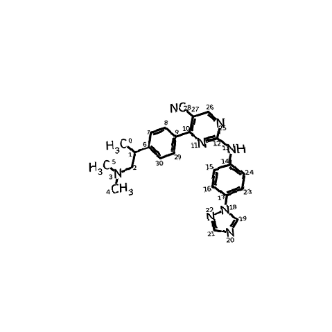 CC(CN(C)C)c1ccc(-c2nc(Nc3ccc(-n4cncn4)cc3)ncc2C#N)cc1